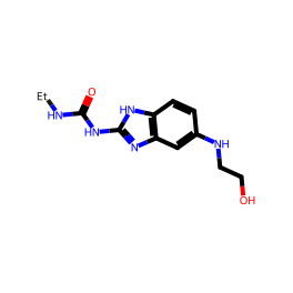 CCNC(=O)Nc1nc2cc(NCCO)ccc2[nH]1